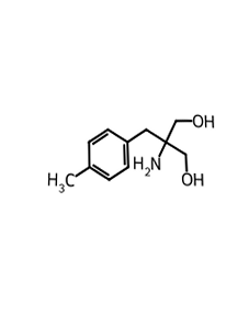 Cc1ccc(CC(N)(CO)CO)cc1